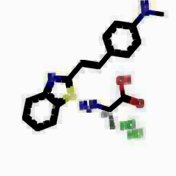 CNc1ccc(C=Cc2nc3ccccc3s2)cc1.C[C@H](N)C(=O)O.Cl.Cl